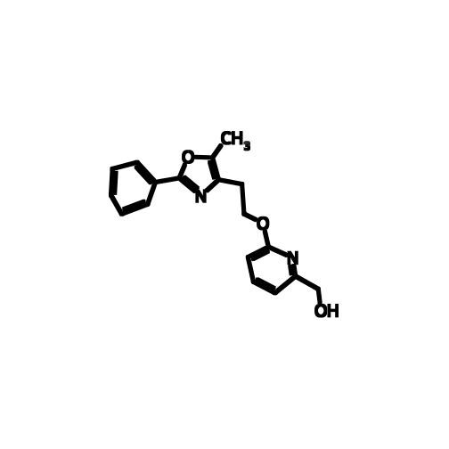 Cc1oc(-c2ccccc2)nc1CCOc1cccc(CO)n1